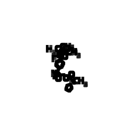 CN(C(=O)OCc1ocnc1-c1ccc(B2OC(C)(C)C(C)(C)O2)c(F)c1)C1CCCC1